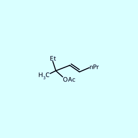 CCCC=CC(C)(CC)OC(C)=O